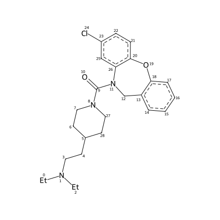 CCN(CC)CCC1CCN(C(=O)N2Cc3ccccc3Oc3ccc(Cl)cc32)CC1